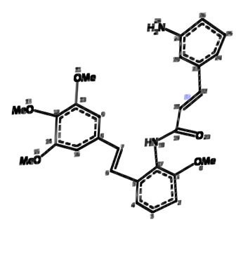 COc1cccc(C=Cc2cc(OC)c(OC)c(OC)c2)c1NC(=O)/C=C/c1cccc(N)c1